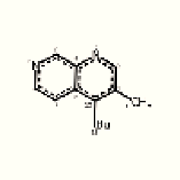 Cc1cnc2cnccc2c1C(C)(C)C